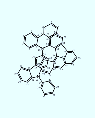 c1ccc(-c2ccccc2N(c2ccc3c(c2)c2ccccc2n3-c2ccccc2)c2cccc3c2-c2c4ccccc4cc4cccc-3c24)cc1